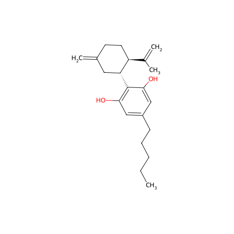 C=C1CC[C@@H](C(=C)C)[C@H](c2c(O)cc(CCCCC)cc2O)C1